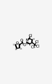 O=C(Oc1cc(C(Cl)(Cl)Cl)cc(Cl)n1)c1ccco1